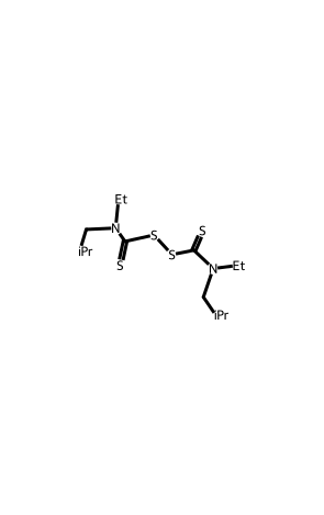 CCN(CC(C)C)C(=S)SSC(=S)N(CC)CC(C)C